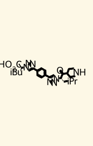 CC[C@H](C)[C@@H](C(=O)O)n1cc(-c2ccc(-c3cn([C@@H](CC(C)C)C(=O)C4CCNCC4)nn3)cc2)nn1